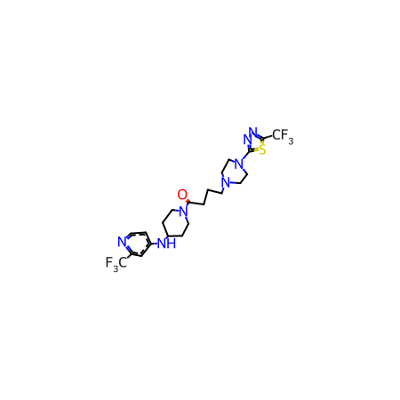 O=C(CCCN1CCN(c2nnc(C(F)(F)F)s2)CC1)N1CCC(Nc2ccnc(C(F)(F)F)c2)CC1